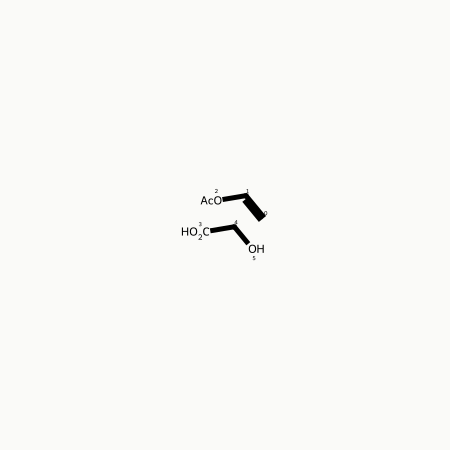 C=COC(C)=O.O=C(O)CO